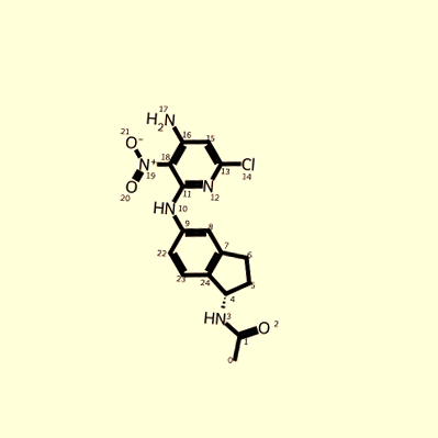 CC(=O)N[C@H]1CCc2cc(Nc3nc(Cl)cc(N)c3[N+](=O)[O-])ccc21